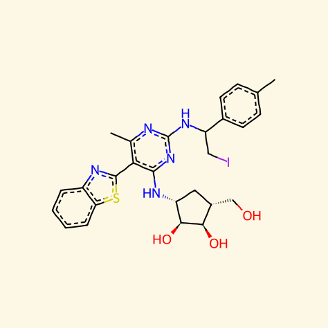 Cc1ccc(C(CI)Nc2nc(C)c(-c3nc4ccccc4s3)c(N[C@@H]3C[C@H](CO)[C@@H](O)[C@H]3O)n2)cc1